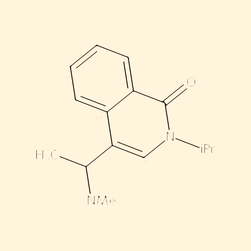 CNC(C)c1cn(C(C)C)c(=O)c2ccccc12